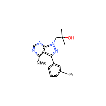 CNc1ncnc2c1c(-c1cccc(C(C)C)c1)nn2CC(C)(C)O